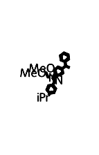 COCCn1c(-c2ccc(C(C)C)cc2)nc2cc(C(C)c3ccccc3)cc(OC)c21